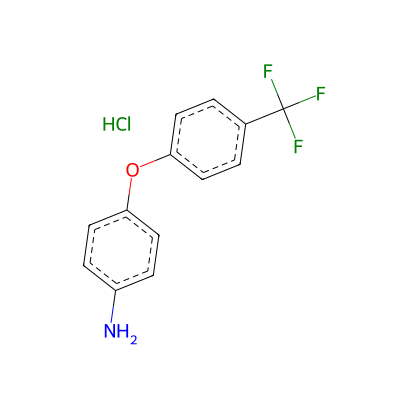 Cl.Nc1ccc(Oc2ccc(C(F)(F)F)cc2)cc1